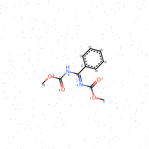 COC(=O)/N=C(/NC(=O)OC)c1cc[c]cc1